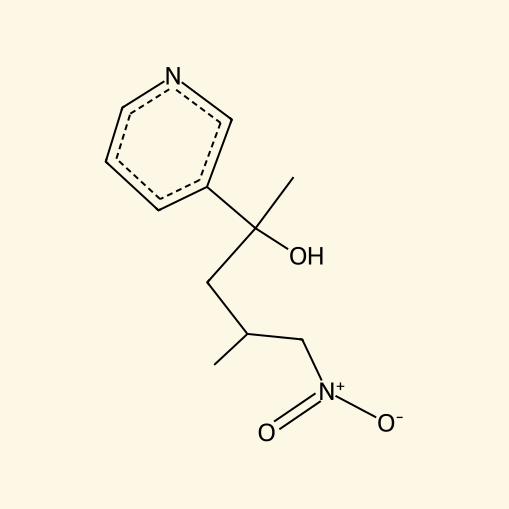 CC(C[N+](=O)[O-])CC(C)(O)c1cccnc1